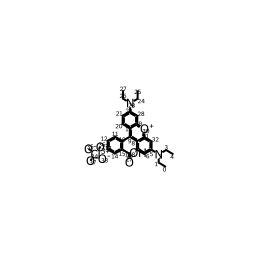 CCN(CC)c1ccc2c(-c3ccccc3C(=O)O)c3ccc(N(CC)CC)cc3[o+]c2c1.[O-][Cl+3]([O-])([O-])[O-]